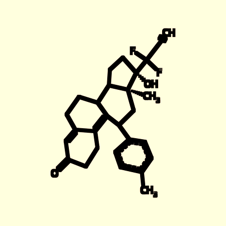 C#CC(F)(F)[C@]1(O)CCC2C3CCC4=CC(=O)CCC4=C3C(c3ccc(C)cc3)C[C@@]21C